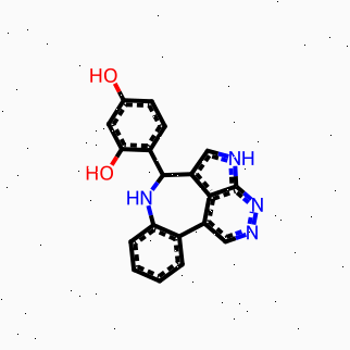 Oc1ccc(C2Nc3ccccc3-c3cnnc4[nH]cc2c34)c(O)c1